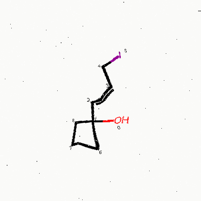 OC1(C=CCI)CCC1